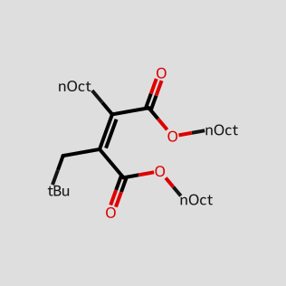 CCCCCCCCOC(=O)C(CCCCCCCC)=C(CC(C)(C)C)C(=O)OCCCCCCCC